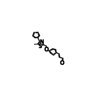 Cc1sc(COc2ccc(/C=C/C=O)cc2)nc1-c1ccccc1